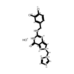 Cl.O=c1[nH]c(NCc2ccc(Cl)c(Cl)c2)nc2cn(Cn3cncn3)nc12